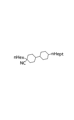 CCCCCCCC1CCC(C2CCC(C#N)(CCCCCC)CC2)CC1